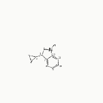 CN1CC(C2CC2)c2ccccc21